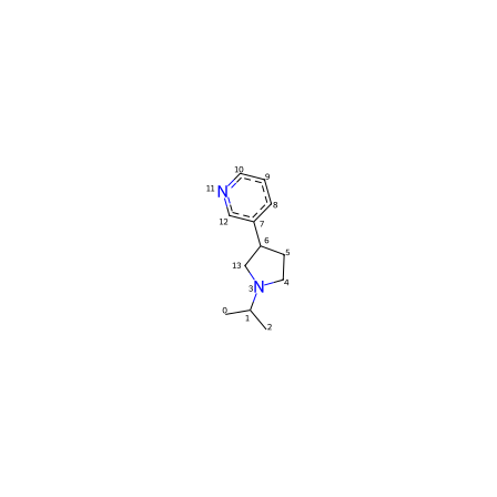 CC(C)N1CCC(c2cccnc2)C1